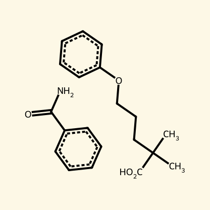 CC(C)(CCCOc1ccccc1)C(=O)O.NC(=O)c1ccccc1